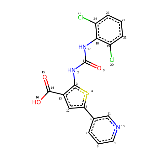 O=C(Nc1sc(-c2cccnc2)cc1C(=O)O)Nc1c(Cl)cccc1Cl